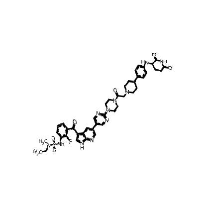 CCN(C)S(=O)(=O)Nc1cccc(C(=O)c2c[nH]c3ncc(-c4cnc(N5CCN(C(=O)CN6CCC(c7ccc(NC8CCC(=O)NC8=O)cc7)CC6)CC5)nc4)cc23)c1F